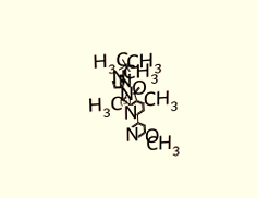 COc1cncc(-c2cc(C)c3c(n2)[C@H](C)N(c2ccn(CC(C)(C)C)n2)C3=O)c1